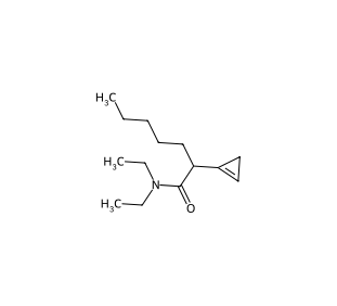 CCCCCC(C(=O)N(CC)CC)C1=CC1